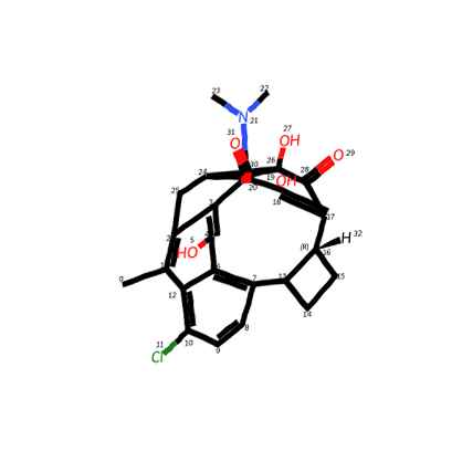 Cc1c2c3c(O)c4c(ccc(Cl)c14)C1CC[C@H]1C1=C(O)C(N(C)C)C(C2)C(O)(C1=O)C3=O